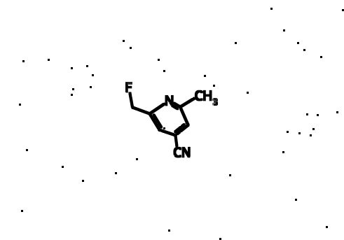 Cc1cc(C#N)cc(CF)n1